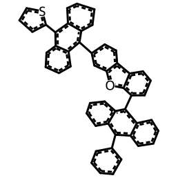 c1ccc(-c2c3ccccc3c(-c3cccc4c3oc3cc(-c5c6ccccc6c(-c6cccs6)c6ccccc56)ccc34)c3ccccc23)cc1